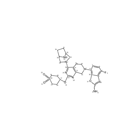 Nc1nc2c(F)ccc(N3CCc4c(nc(OC5CCS(=O)(=O)CC5)nc4N4CC5CCC(C4)N5)C3)c2o1